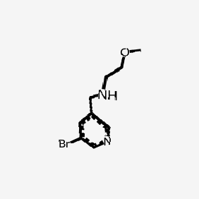 COCCNCc1cncc(Br)c1